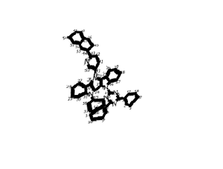 c1ccc(-c2nc(-c3ccccc3)nc(-n3c4ccccc4c4c3c3c(c5ccccc5n3-c3ccccc3)n4-c3ccc(-c4ccc5ccccc5c4)nc3)n2)cc1